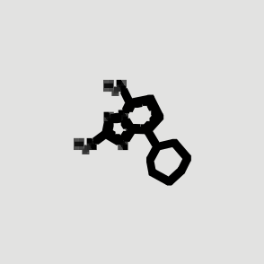 Nc1nc2c(C3CCCCCC3)ccc(N)n2n1